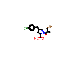 CC(CS)C(=O)N1CC(Cc2ccc(Cl)cc2)C[C@H]1C(=O)O